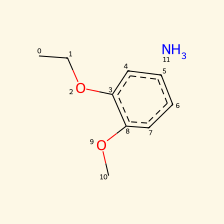 CCOc1ccccc1OC.N